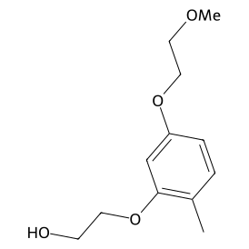 COCCOc1ccc(C)c(OCCO)c1